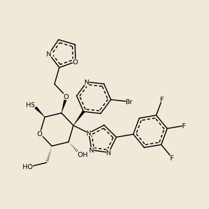 OC[C@@H]1O[C@@H](S)[C@@H](OCc2ncco2)[C@](c2cncc(Br)c2)(n2cc(-c3cc(F)c(F)c(F)c3)nn2)[C@@H]1O